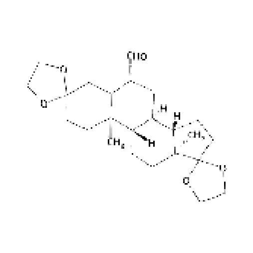 C[C@]12CCC3(CC1[C@H](C=O)C[C@@H]1[C@@H]2CC[C@@]2(C)[C@H]1CCC21OCCO1)OCCO3